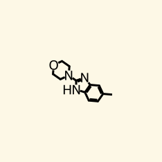 Cc1ccc2[nH]c(N3CCOCC3)nc2c1